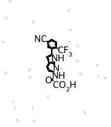 N#Cc1ccc(C(F)(F)F)c(-c2cc3ccc(NC(=O)C(=O)O)nc3[nH]2)c1